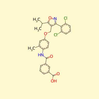 Cc1cc(OCc2c(-c3c(Cl)cccc3Cl)noc2C(C)C)ccc1NC(=O)c1cccc(C(=O)O)c1